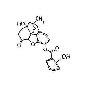 CN1CCC23c4c5ccc(OC(=O)c6ccccc6O)c4OC2C(=O)CC[C@@]3(O)C1C5